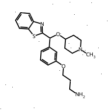 CN1CCC(OC(c2cccc(OCCCN)c2)c2nc3ccccc3s2)CC1